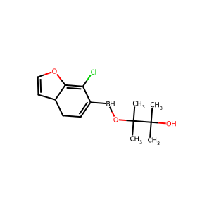 CC(C)(O)C(C)(C)OBC1=CCC2C=COC2=C1Cl